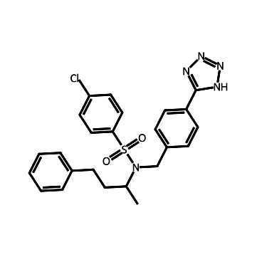 CC(CCc1ccccc1)N(Cc1ccc(-c2nnn[nH]2)cc1)S(=O)(=O)c1ccc(Cl)cc1